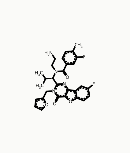 Cc1ccc(C(=O)N(CCN)[C@@H](c2nc3c(oc4ccc(F)cc43)c(=O)n2Cc2ccco2)C(C)C)cc1F